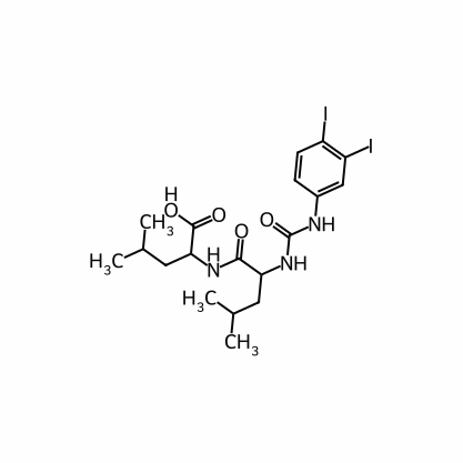 CC(C)CC(NC(=O)C(CC(C)C)NC(=O)Nc1ccc(I)c(I)c1)C(=O)O